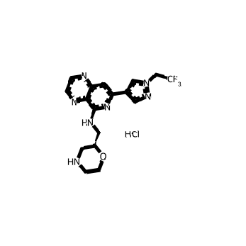 Cl.FC(F)(F)Cn1cc(-c2cc3nccnc3c(NC[C@@H]3CNCCO3)n2)cn1